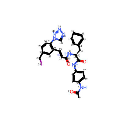 CC(=O)Nc1ccc(NC(=O)[C@H](Cc2ccccc2)NC(=O)/C=C/c2cc(CI)ccc2-n2cnnn2)cc1